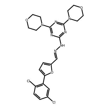 Clc1ccc(Cl)c(-c2ccc(/C=N/Nc3nc(N4CCOCC4)nc(N4CCOCC4)n3)o2)c1